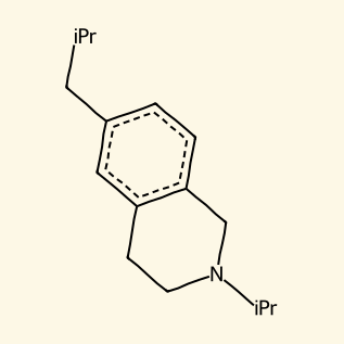 CC(C)Cc1ccc2c(c1)CCN(C(C)C)C2